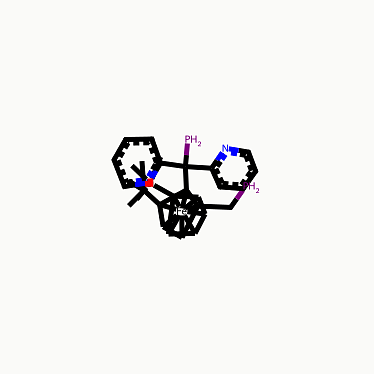 CC(C)(C)[C]12[CH]3[CH]4[C]5(CP)[C]1(C(P)(c1ccccn1)c1ccccn1)[Fe]43521678[CH]2[CH]1[CH]6[C]7([Si](C)(C)C)[CH]28